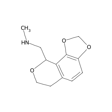 CNCC1OCCc2ccc3c(c21)OCO3